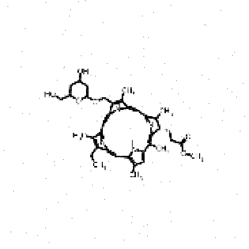 CCC1=C(C)c2cc3[nH]c(cc4nc(c(C)c5cc(C)c(cc1n2)[nH]5)[C@@H](CCC(=O)OC)C4C)c(C)c3COC1CC(O)CC(CO)O1